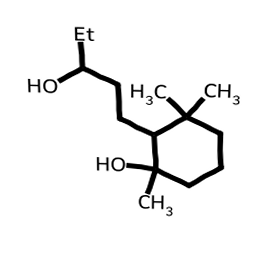 CCC(O)CCC1C(C)(C)CCCC1(C)O